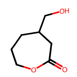 O=C1CC(CO)CCCO1